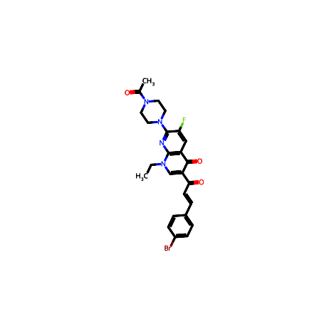 CCn1cc(C(=O)C=Cc2ccc(Br)cc2)c(=O)c2cc(F)c(N3CCN(C(C)=O)CC3)nc21